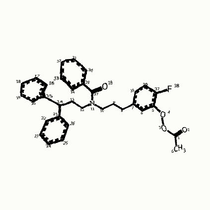 CC(=O)OOc1cc(CCCN(CCC(c2ccccc2)c2ccccc2)C(=O)c2ccccc2)ccc1F